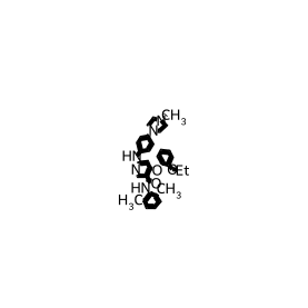 CCOc1ccccc1Oc1cc(Nc2ccc(N3CCN(C)CC3)cc2)ncc1C(=O)Nc1c(C)cccc1C